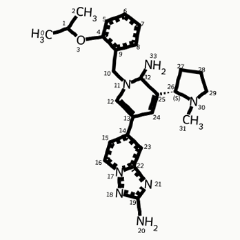 CC(C)Oc1ccccc1CN1C=C(c2ccn3nc(N)nc3c2)C=C([C@@H]2CCCN2C)C1N